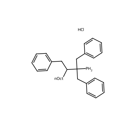 CCCCCCCCC(Cc1ccccc1)C(P)(Cc1ccccc1)Cc1ccccc1.Cl